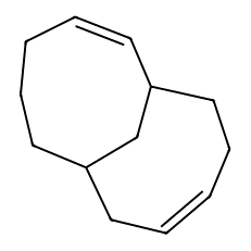 C1=CC2CCC=CCC(CCC1)C2